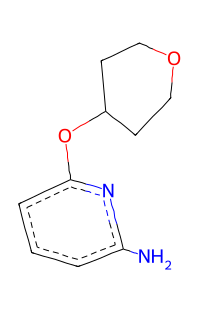 Nc1cccc(OC2CCOCC2)n1